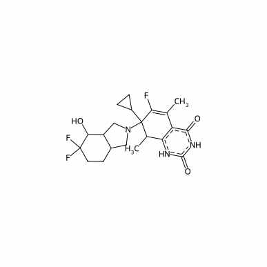 CC1=C(F)C(C2CC2)(N2CC3CCC(F)(F)C(O)C3C2)C(C)c2[nH]c(=O)[nH]c(=O)c21